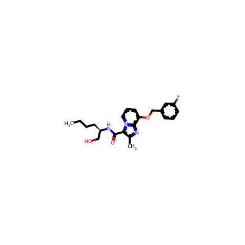 CCCC[C@H](CO)NC(=O)c1c(C)nc2c(OCc3cccc(F)c3)cccn12